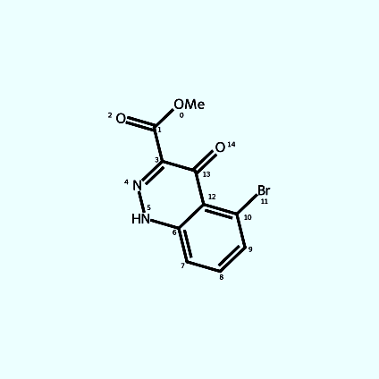 COC(=O)c1n[nH]c2cccc(Br)c2c1=O